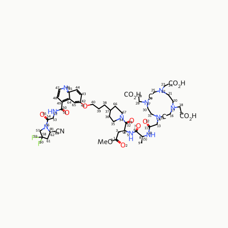 COC(=O)C[C@H](NC(=O)[C@H](C)NC(=O)CN1CCN(CC(=O)O)CCN(CC(=O)O)CCN(CC(=O)O)CC1)C(=O)N1CCC(CCCOc2ccc3nccc(C(=O)NCC(=O)N4CC(F)(F)C[C@@H]4C#N)c3c2)CC1